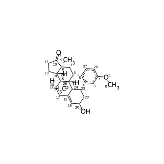 COc1ccc([C@H]2C[C@]3(C)C(=O)CC[C@H]3[C@@H]3CCC4=CC(O)CC[C@]4(C)[C@H]32)cc1